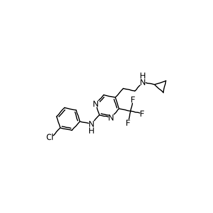 FC(F)(F)c1nc(Nc2cccc(Cl)c2)ncc1CCNC1CC1